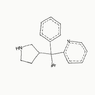 CC(C)C(c1ccccc1)(c1ccccn1)C1CCNC1